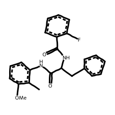 COc1cccc(NC(=O)C(Cc2ccccc2)NC(=O)c2ccccc2F)c1C